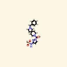 CS(=O)(=O)Nc1ccn(C(=O)N2CCC3(CCN(Cc4ccccc4)C3)CC2)n1